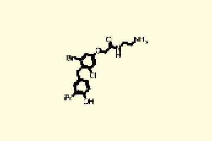 CC(C)c1cc(Cc2c(Cl)cc(OCC(=O)NCCN)cc2Br)ccc1O